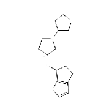 c1cc2c([nH]1)C(O[C@@H]1CCN(C3CCOC3)C1)CC2